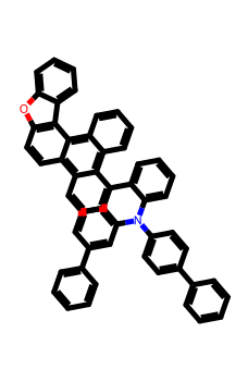 c1ccc(-c2ccc(N(c3cccc(-c4ccccc4)c3)c3ccccc3-c3cccc4c5ccc6oc7ccccc7c6c5c5ccccc5c34)cc2)cc1